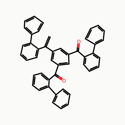 C=C(c1cc(C(=O)c2ccccc2-c2ccccc2)cc(C(=O)c2ccccc2-c2ccccc2)c1)c1ccccc1-c1ccccc1